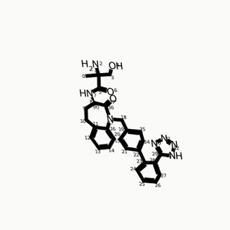 CC(N)(CO)C(=O)N[C@@H]1CCc2ccccc2N(Cc2ccc(-c3ccccc3-c3nnn[nH]3)cc2)C1=O